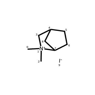 C[N+]1(C)CC2CCC1C2.[I-]